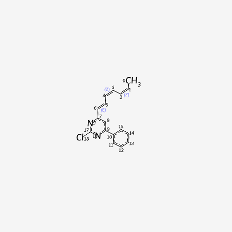 C\C=C/C=C\C=C\c1cc(-c2ccccc2)nc(Cl)n1